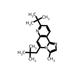 Cc1cnc2c3ccc(C(C)(C)C)nc3cc(CC(C)(C)C)n12